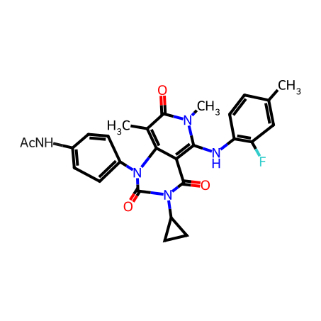 CC(=O)Nc1ccc(-n2c(=O)n(C3CC3)c(=O)c3c(Nc4ccc(C)cc4F)n(C)c(=O)c(C)c32)cc1